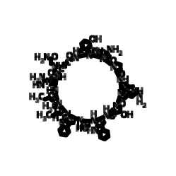 CCCC[C@H]1C(=O)N(C)[C@@H](CCCC)C(=O)N[C@@H](CNC(=N)N)C(=O)N[C@H](C(=O)NCC(N)=O)CSCC(=O)N[C@@H](Cc2ccc(O)cc2)C(=O)N(C)[C@@H](C)C(=O)N[C@@H](CC(N)=O)C(=O)N2CCC[C@H]2C(=O)N[C@@H](Cc2c[nH]cn2)C(=O)N[C@@H](CCCCN)C(=O)N2C[C@H](O)C[C@H]2C(=O)N[C@@H](Cc2c[nH]c3ccccc23)C(=O)N[C@@H](CO)C(=O)N[C@@H](Cc2csc3ccccc23)C(=O)N1C